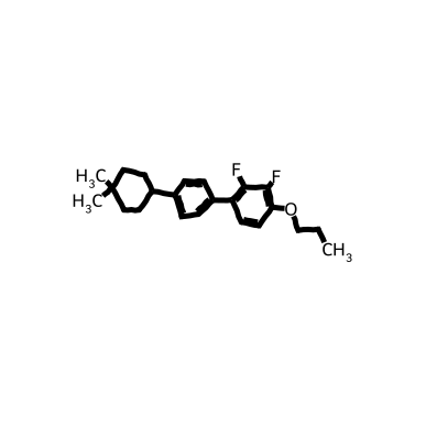 CCCOc1ccc(-c2ccc(C3CCC(C)(C)CC3)cc2)c(F)c1F